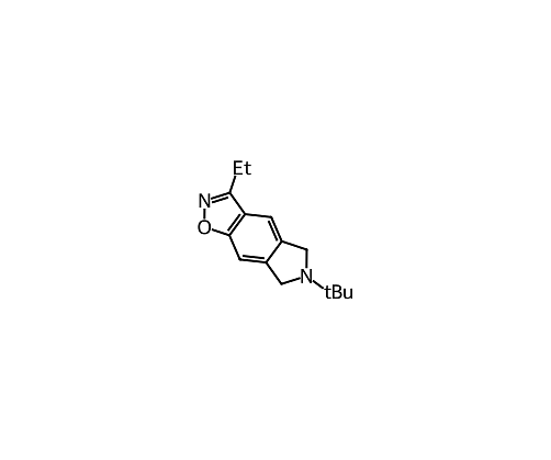 CCc1noc2cc3c(cc12)CN(C(C)(C)C)C3